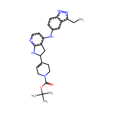 CCc1n[nH]c2ccc(Nc3ccnc4c3CC(C3=CCN(C(=O)OC(C)(C)C)CC3)N4)cc12